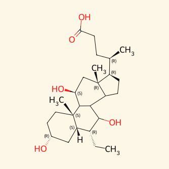 CC[C@H]1C(O)C2C3CC[C@H]([C@H](C)CCC(=O)O)[C@@]3(C)C[C@H](O)C2[C@@]2(C)CC[C@@H](O)C[C@@H]12